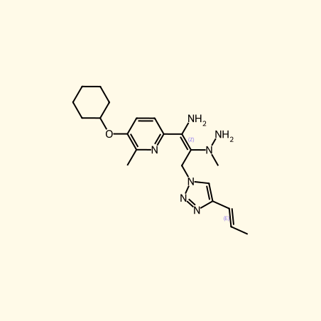 C/C=C/c1cn(C/C(=C(/N)c2ccc(OC3CCCCC3)c(C)n2)N(C)N)nn1